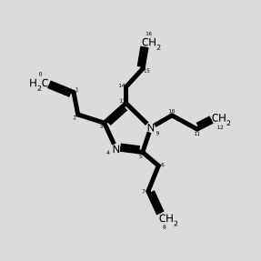 C=CCc1nc(CC=C)n(CC=C)c1CC=C